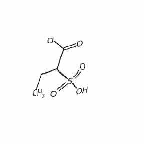 CCC(C(=O)Cl)S(=O)(=O)O